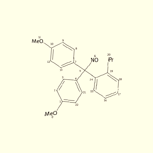 COc1ccc(C(N=O)(c2ccc(OC)cc2)c2ccccc2C(C)C)cc1